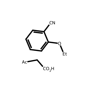 CC(=O)CC(=O)O.CCOc1ccccc1C#N